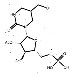 CC(=O)O[C@H]1[C@H](OC(C)=O)[C@@H](COP(=O)(O)O)O[C@H]1N1CC(CO)CNC1=O